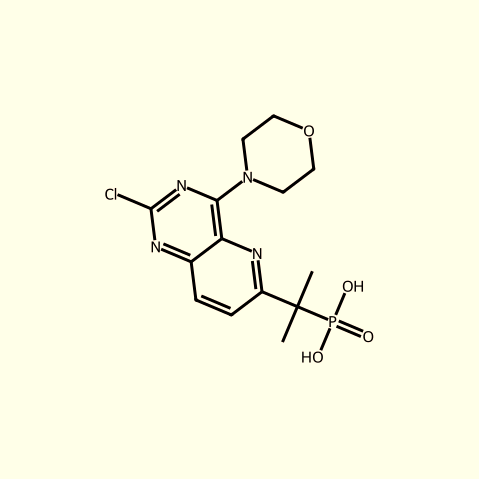 CC(C)(c1ccc2nc(Cl)nc(N3CCOCC3)c2n1)P(=O)(O)O